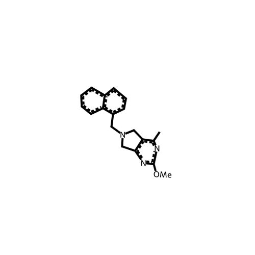 COc1nc(C)c2c(n1)CN(Cc1cccc3ccccc13)C2